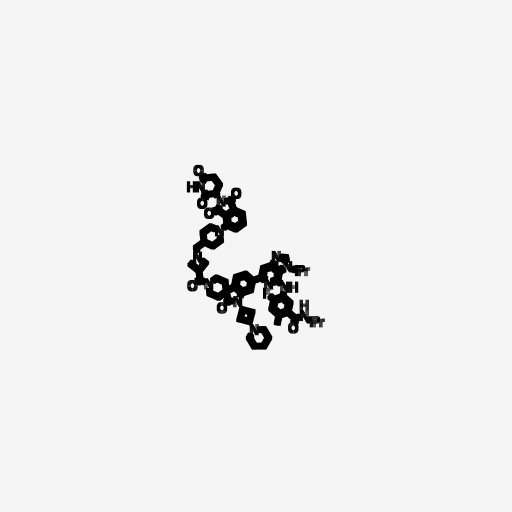 Cc1cc(F)c(Nc2nc(-c3ccc4c(c3)N([C@H]3C[C@@H](N5CCCCC5)C3)C(=O)C43CCN(C(=O)C4CN(CC5CCN(c6cccc7c6C(=O)N(C6CCC(=O)NC6=O)C7=O)CC5)C4)CC3)cc3ncn(C(C)C)c23)cc1C(=O)NC(C)C